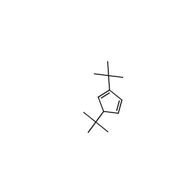 CC(C)(C)C1=[C]C(C(C)(C)C)C=C1